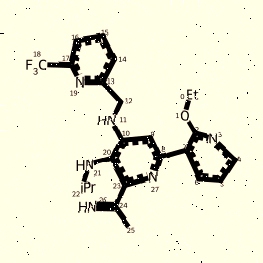 CCOc1ncccc1-c1cc(NCc2cccc(C(F)(F)F)n2)c(NC(C)C)c(C(C)=N)n1